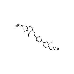 CCCCCc1ccc(CCc2ccc(-c3ccc(OC)c(F)c3)cc2)c(F)c1F